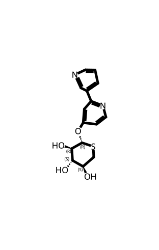 O[C@@H]1[C@@H](O)[C@H](Oc2ccnc(-c3cccnc3)c2)SC[C@H]1O